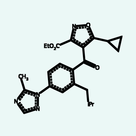 CCOC(=O)c1noc(C2CC2)c1C(=O)c1ccc(-n2ncnc2C)cc1CC(C)C